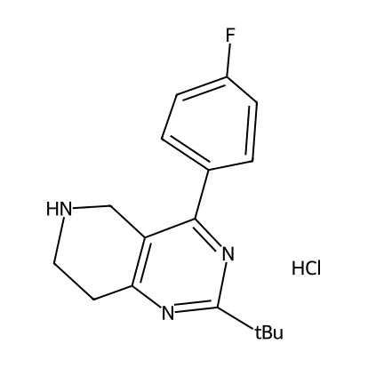 CC(C)(C)c1nc2c(c(-c3ccc(F)cc3)n1)CNCC2.Cl